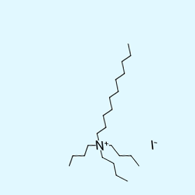 CCCCCCCCCCC[N+](CCCC)(CCCC)CCCC.[I-]